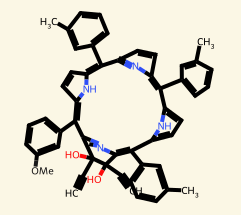 C#CC1(O)c2nc(c(-c3cccc(OC)c3)c3ccc([nH]3)c(-c3cccc(C)c3)c3nc(c(-c4cccc(C)c4)c4ccc([nH]4)c2-c2cccc(C)c2)C=C3)C1(O)C#C